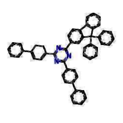 C1=C(c2ccccc2)CCC(c2nc(-c3ccc(-c4ccccc4)cc3)nc(-c3ccc4c(c3)C(c3ccccc3)(c3ccccc3)c3ccccc3-4)n2)=C1